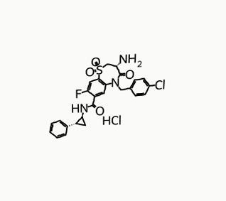 Cl.N[C@H]1CS(=O)(=O)c2cc(F)c(C(=O)N[C@H]3C[C@@H]3c3ccccc3)cc2N(Cc2ccc(Cl)cc2)C1=O